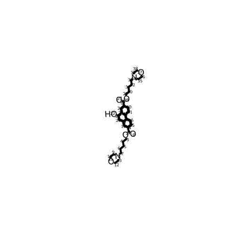 O=C(OCCCCCN1CCOCC1)c1ccc2c(c1)cc(O)c1cc(C(=O)OCCCCCN3CCOCC3)ccc12